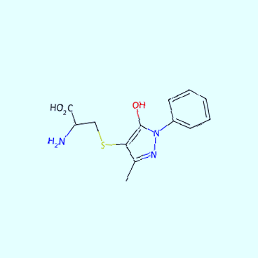 Cc1nn(-c2ccccc2)c(O)c1SCC(N)C(=O)O